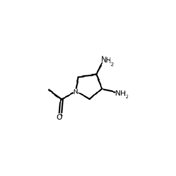 CC(=O)N1CC(N)C(N)C1